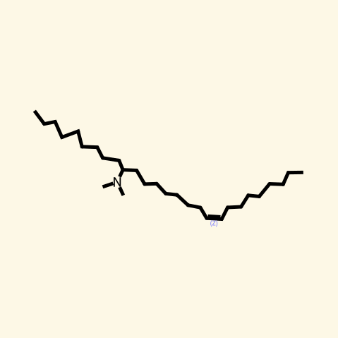 CCCCCCCC/C=C\CCCCCCCC(CCCCCCCCC)N(C)C